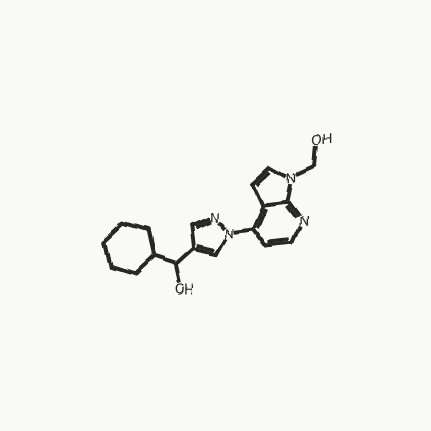 OCn1ccc2c(-n3cc(C(O)C4CCCCC4)cn3)ccnc21